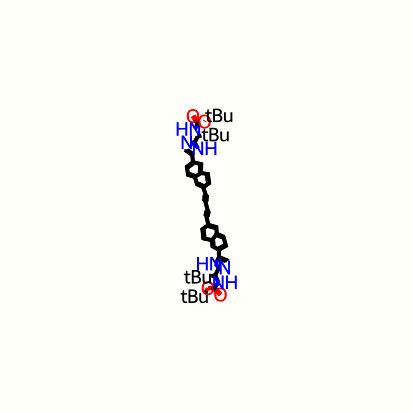 CC(C)(C)OC(=O)NC(c1ncc(-c2ccc3cc(C#CC#Cc4ccc5cc(-c6cnc(C(NC(=O)OC(C)(C)C)C(C)(C)C)[nH]6)ccc5c4)ccc3c2)[nH]1)C(C)(C)C